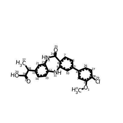 COc1cc(-c2ccc3c(c2)Nc2ccc(C(C)C(=O)O)cc2NC3=O)ccc1Cl